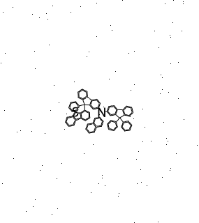 c1ccc(C2(c3ccccc3)c3ccccc3-c3ccc(N(c4ccc5c(c4)C(c4ccccc4)(c4cccc6c4sc4ccccc46)c4ccccc4-5)c4ccc5ccccc5c4)cc32)cc1